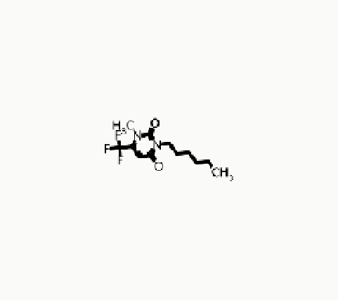 CCCCCCn1c(=O)cc(C(F)(F)F)n(C)c1=O